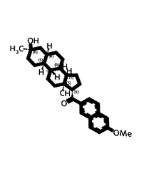 COc1ccc2cc(C(=O)[C@H]3CC[C@H]4[C@@H]5CC[C@@H]6C[C@](C)(O)CC[C@@H]6[C@H]5CC[C@]34C)ccc2c1